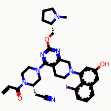 C=CC(=O)N1CCN(c2nc(OC[C@@H]3CCCN3C)nc3c2CCN(c2cc(O)cc4cccc(I)c24)C3)C[C@@H]1CC#N